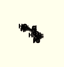 O=C(Nc1cc(F)c(=O)n(CC(F)F)c1)c1cc(C#CC2CC(O)(C(F)(F)F)C2)c(Cl)s1